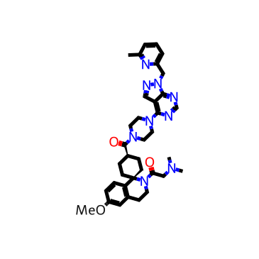 COc1ccc2c(c1)CCN(C(=O)CN(C)C)[C@]21CC[C@H](C(=O)N2CCN(c3ncnc4c3cnn4Cc3cccc(C)n3)CC2)CC1